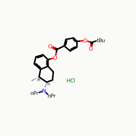 CCCN(CCC)[C@H]1CCc2c(OC(=O)c3ccc(OC(=O)C(C)(C)C)cc3)cccc2[C@H]1C.Cl